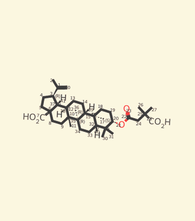 C=C(C)[C@@H]1CCC2(C(=O)O)CC[C@]3(C)[C@H](CC[C@@H]4[C@@]5(C)CC[C@H](OC(=O)CC(C)(C)C(=O)O)C(C)(C)[C@@H]5CC[C@]43C)[C@@H]12